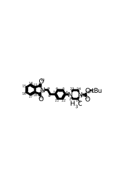 C[C@H]1CN(c2ccc(CCN3C(=O)c4ccccc4C3=O)cc2)CCN1C(=O)OC(C)(C)C